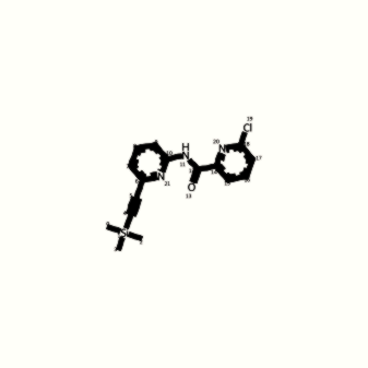 C[Si](C)(C)C#Cc1cccc(NC(=O)c2cccc(Cl)n2)n1